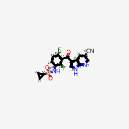 N#Cc1cnc2[nH]cc(C(=O)c3c(F)ccc(NS(=O)(=O)C4CC4)c3F)c2c1